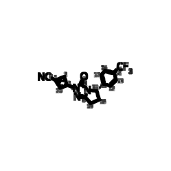 N#CC12CC(n3nc4n(c3=O)[C@H](c3ccc(C(F)(F)F)cc3)CC4)(C1)C2